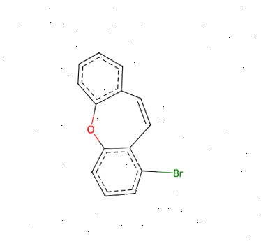 Brc1cccc2c1C=Cc1ccccc1O2